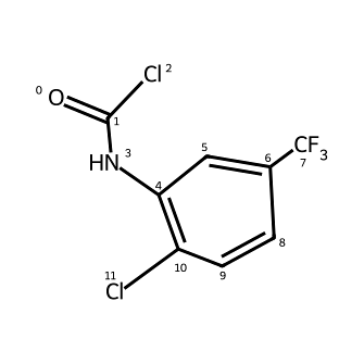 O=C(Cl)Nc1cc(C(F)(F)F)ccc1Cl